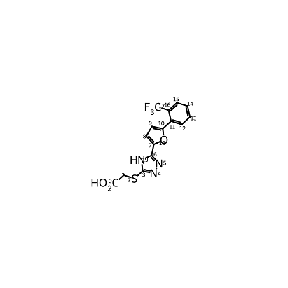 O=C(O)CSc1nnc(-c2ccc(-c3ccccc3C(F)(F)F)o2)[nH]1